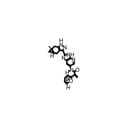 C=C(C(=O)N(C)c1cnc2[nH]c(-c3n[nH]c4c3C[C@@H]3C[C@]3(C)C4)nc2c1)N1C[C@H]2CC[C@@H]1CO2